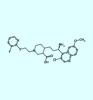 COc1ccc2ncc(Cl)c([C@H](N)CCC3CCN(CCSc4ncccc4F)CC3C(=O)O)c2c1